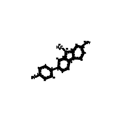 CC(C)c1ccc(-c2ccc3c4ccc(C(C)C)cc4n(C)c3c2)cc1